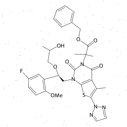 COc1ccc(F)cc1[C@H](Cn1c(=O)n(C(C)(C)C(=O)OCc2ccccc2)c(=O)c2c(C)c(-n3nccn3)sc21)OCC(C)O